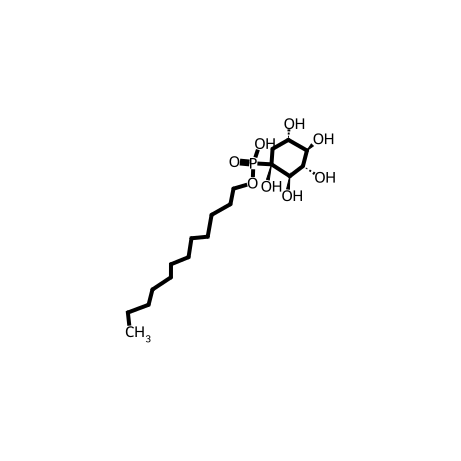 CCCCCCCCCCCCOP(=O)(O)[C@]1(O)C[C@H](O)[C@@H](O)[C@H](O)[C@H]1O